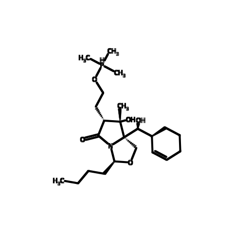 CCCC[C@@H]1OC[C@]2([C@@H](O)[C@@H]3C=CCCC3)N1C(=O)[C@H](CCO[PH](C)(C)C)[C@]2(C)O